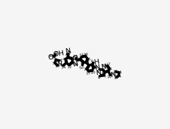 Cc1c(Nc2nccc3c(CN4CCCC4)ccnc23)cccc1-c1cccc(-c2nc3cc(CN4CC[C@H](C(=O)O)C4)cc(C#N)c3o2)c1C